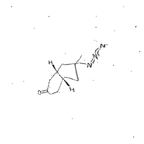 CC1(N=[N+]=[N-])C[C@H]2CC(=O)C[C@H]2C1